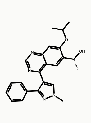 CC(C)Oc1cc2ncnc(-c3cn(C)nc3-c3ccccc3)c2cc1[C@@H](C)O